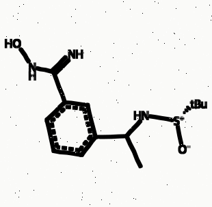 CC(N[S@@+]([O-])C(C)(C)C)c1cccc(C(=N)NO)c1